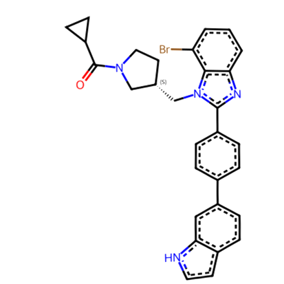 O=C(C1CC1)N1CC[C@H](Cn2c(-c3ccc(-c4ccc5cc[nH]c5c4)cc3)nc3cccc(Br)c32)C1